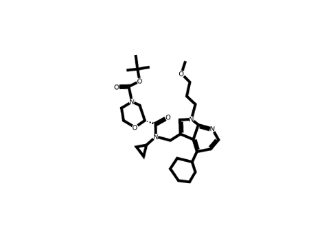 COCCCn1cc(CN(C(=O)[C@H]2CN(C(=O)OC(C)(C)C)CCO2)C2CC2)c2c(C3CCCCC3)ccnc21